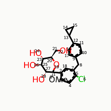 CO[C@@]1(c2ccc(Cl)c(Cc3ccc(C4CC4)cc3)c2)O[C@H](CO)[C@@H](O)[C@H](O)[C@H]1O